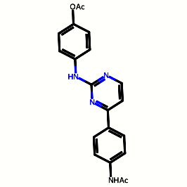 CC(=O)Nc1ccc(-c2ccnc(Nc3ccc(OC(C)=O)cc3)n2)cc1